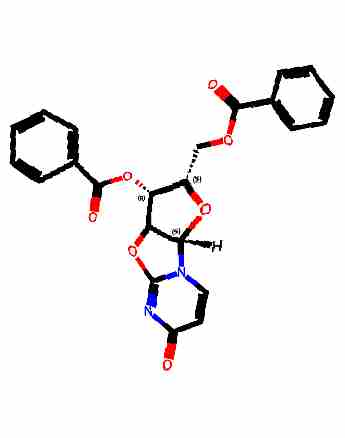 O=C(OC[C@@H]1O[C@H]2C(Oc3nc(=O)ccn32)[C@@H]1OC(=O)c1ccccc1)c1ccccc1